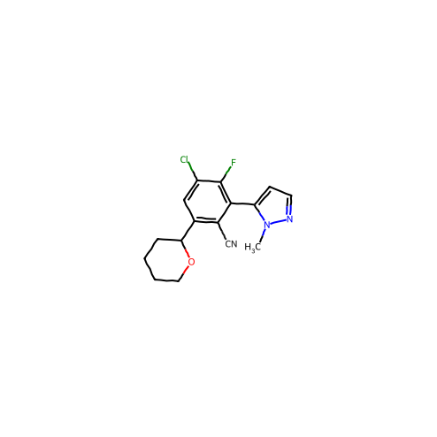 Cn1nccc1-c1c(F)c(Cl)cc(C2CCCCO2)c1C#N